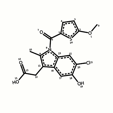 COc1ccc(C(=O)n2c(C)c(CC(=O)O)c3cc(O)c(Cl)cc32)s1